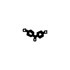 O=C(c1ccc(Cl)cc1)C1C=CC(Cl)=CC1